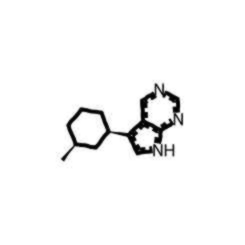 C[C@H]1CCC[C@@H](c2c[nH]c3ncncc23)C1